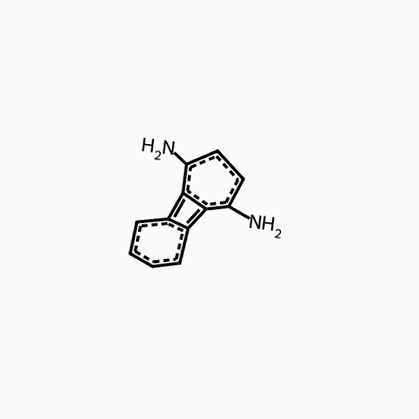 Nc1ccc(N)c2c1=c1ccccc1=2